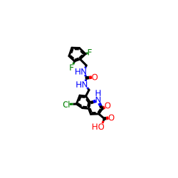 O=C(NCc1c(F)cccc1F)NCc1cc(Cl)cc2cc(C(=O)O)c(=O)[nH]c12